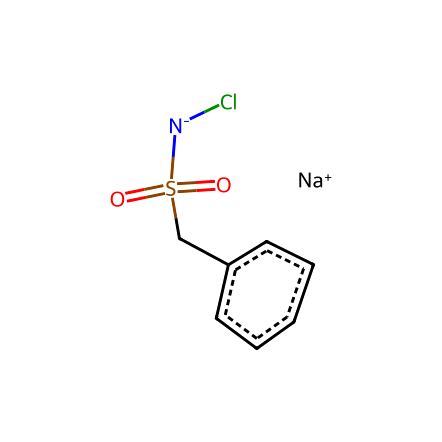 O=S(=O)(Cc1ccccc1)[N-]Cl.[Na+]